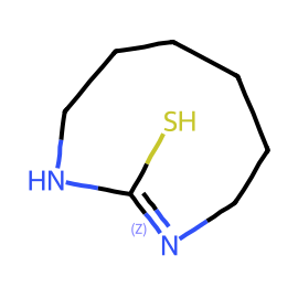 S/C1=N\CCCCCCN1